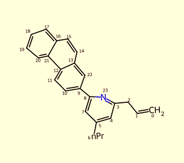 C=CCc1cc(CCC)cc(-c2ccc3c(ccc4ccccc43)c2)n1